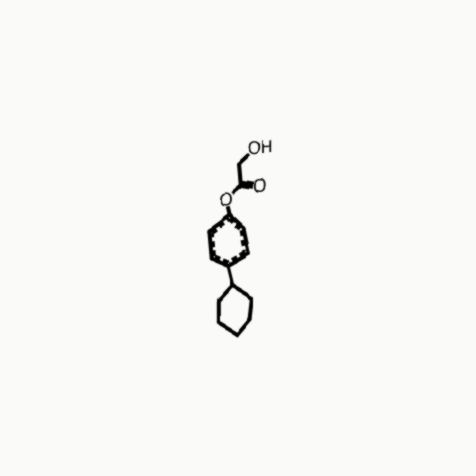 O=C(CO)Oc1ccc(C2CCCCC2)cc1